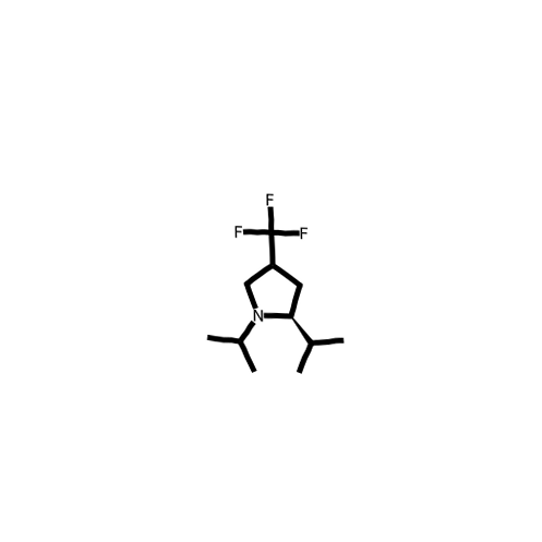 CC(C)[C@@H]1CC(C(F)(F)F)CN1C(C)C